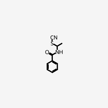 CC(NC(=O)c1ccccc1)SC#N